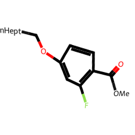 CCCCCCCCOc1ccc(C(=O)OC)c(F)c1